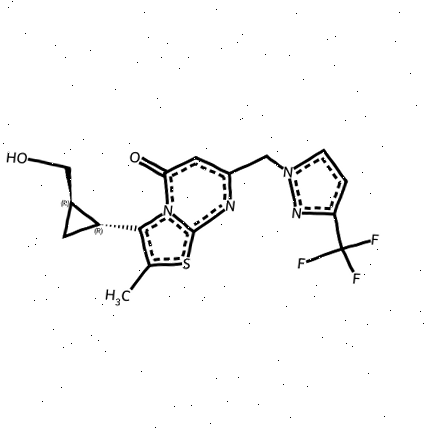 Cc1sc2nc(Cn3ccc(C(F)(F)F)n3)cc(=O)n2c1[C@@H]1C[C@H]1CO